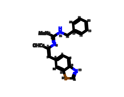 CN/C(=N\C(C=O)=C/c1ccc2ncsc2c1)NCc1ccccc1